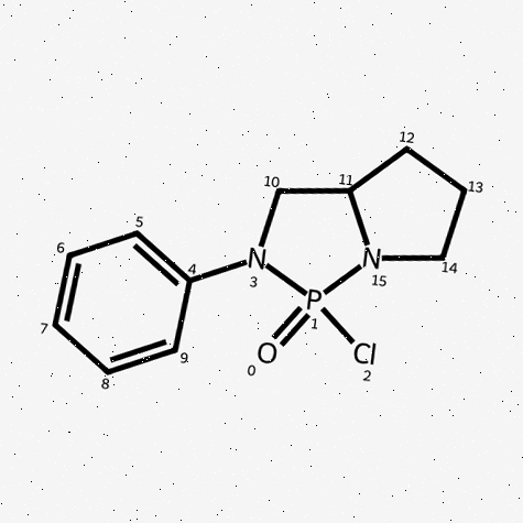 O=P1(Cl)N(c2ccccc2)CC2CCCN21